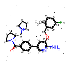 Nc1ncc(-c2ccc(C(=O)N3CCC[C@@H]3CN3CCCC3)cc2)cc1OCc1cc(F)ccc1C(F)(F)F